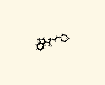 O=C(NCCN1CCOCC1)c1c[nH]c2ccccc12